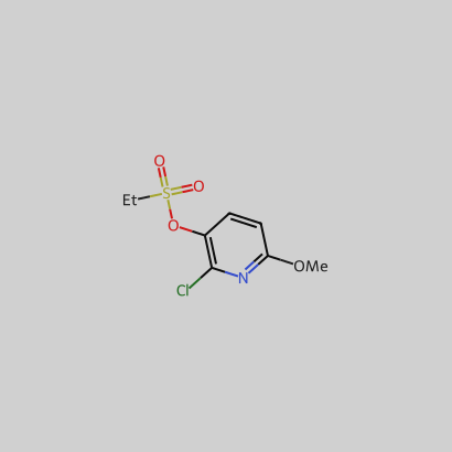 CCS(=O)(=O)Oc1ccc(OC)nc1Cl